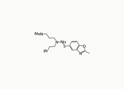 CNCCCN(CCC(C)C)NSc1ccc2oc(C)nc2c1